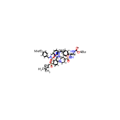 COc1ccc(CN(Cc2ccc(OC)cc2)S(=O)(=O)c2c(S(=O)(=O)CC[Si](C)(C)C)ccc(N3CCC(S(=O)(=O)NCCNC(=O)OC(C)(C)C)CC3)c2-c2nnn(Cc3ccc(OC)cc3)n2)cc1